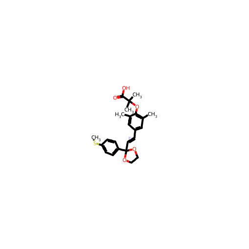 CSc1ccc(C2(/C=C/c3cc(C)c(OC(C)(C)C(=O)O)c(C)c3)OCCO2)cc1